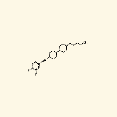 CCCCCC1CCC(C2CCC(C#Cc3ccc(F)c(F)c3)CC2)CC1